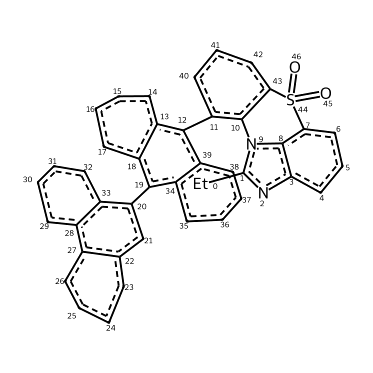 CCc1nc2cccc3c2n1-c1c(-c2c4ccccc4c(-c4cc5ccccc5c5ccccc45)c4ccccc24)cccc1S3(=O)=O